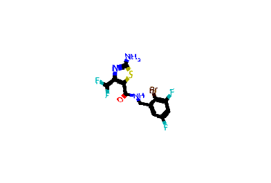 NC1=NC(C(F)F)C(C(=O)NCc2cc(F)cc(F)c2Br)S1